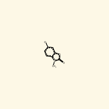 Cn1c(=O)sc2cc(Cl)ccc21